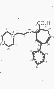 O=C(O)C1=C(OCCN2CCOCC2)C=C(c2ccccc2)C=CC1